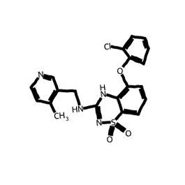 Cc1ccncc1CNC1=NS(=O)(=O)c2cccc(Oc3ccccc3Cl)c2N1